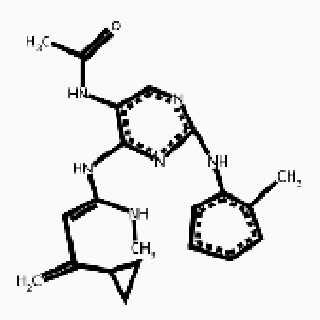 C=C(/C=C(\NC)Nc1nc(Nc2ccccc2C)ncc1NC(C)=O)C1CC1